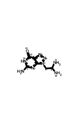 Nc1nc2c(nnn2CC(N)N)c(=O)[nH]1